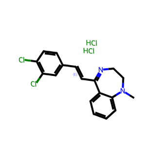 CN1CCN=C(/C=C/c2ccc(Cl)c(Cl)c2)c2ccccc21.Cl.Cl